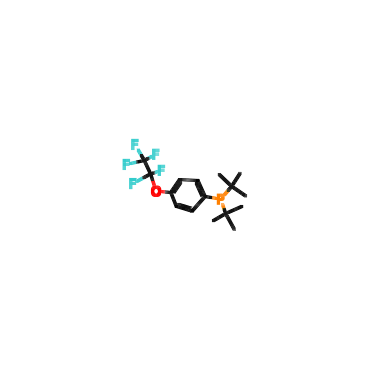 CC(C)(C)P(c1ccc(OC(F)(F)C(F)(F)F)cc1)C(C)(C)C